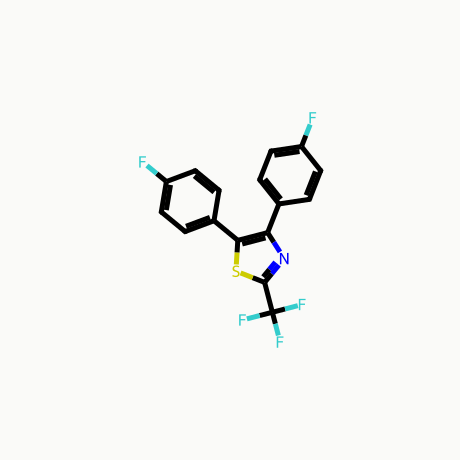 Fc1ccc(-c2nc(C(F)(F)F)sc2-c2ccc(F)cc2)cc1